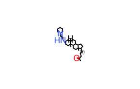 CC(=O)CC[C@@H](C)C1CCC2C3CC[C@H]4CC(NCCN5CCCCC5)CCC4(C)C3CCC21C